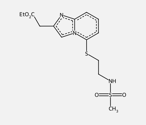 CCOC(=O)Cc1cn2c(SCCNS(C)(=O)=O)cccc2n1